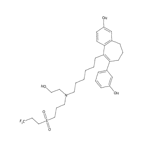 O=S(=O)(CCCN(CCO)CCCCCCC1=C(c2cccc(O)c2)CCCc2cc(O)ccc21)CCC(F)(F)F